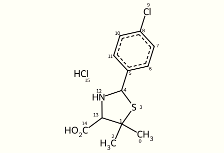 CC1(C)SC(c2ccc(Cl)cc2)NC1C(=O)O.Cl